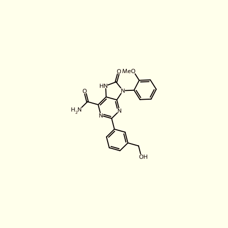 COc1ccccc1-n1c(=O)[nH]c2c(C(N)=O)nc(-c3cccc(CO)c3)nc21